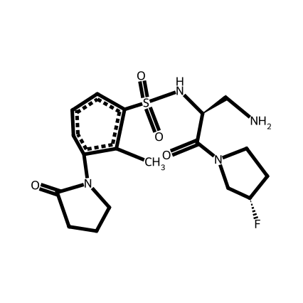 Cc1c(N2CCCC2=O)cccc1S(=O)(=O)N[C@@H](CN)C(=O)N1CC[C@H](F)C1